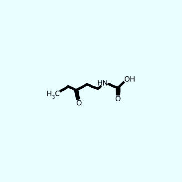 CCC(=O)CCNC(=O)O